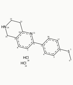 CSc1ccc(-c2ccc3c(n2)CCNC3)cc1.Cl.Cl